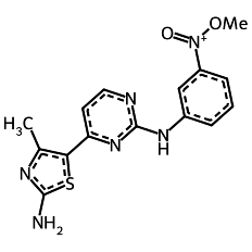 CO[N+](=O)c1cccc(Nc2nccc(-c3sc(N)nc3C)n2)c1